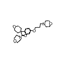 O=C(N1CCOCC1)C1(c2ccc(OCCCN3CCOCC3)cc2)CCOCC1